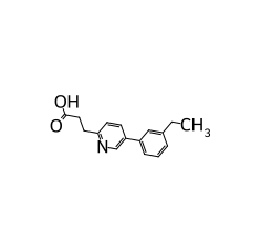 CCc1cccc(-c2ccc(CCC(=O)O)nc2)c1